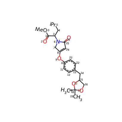 COC(=O)C(CC(C)C)N1CC(Oc2ccc(CC3COC(C)(C)O3)cc2)=CC1=O